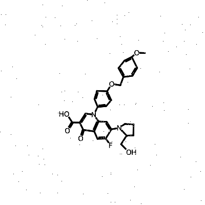 COc1ccc(COc2ccc(-n3cc(C(=O)O)c(=O)c4cc(F)c(N5CCCC5CO)cc43)cc2)cc1